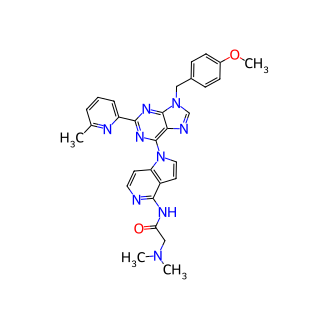 COc1ccc(Cn2cnc3c(-n4ccc5c(NC(=O)CN(C)C)nccc54)nc(-c4cccc(C)n4)nc32)cc1